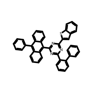 c1ccc(-c2ccccc2-c2nc(-c3cc4ccccc4s3)nc(-c3c4ccccc4c(-c4ccccc4)c4ccccc34)n2)cc1